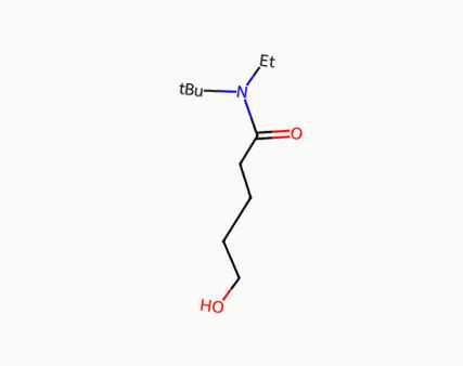 CCN(C(=O)CCCCO)C(C)(C)C